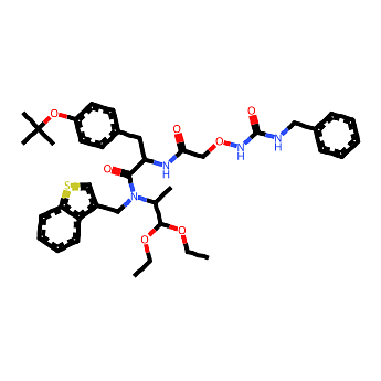 CCOC(OCC)C(C)N(Cc1csc2ccccc12)C(=O)C(Cc1ccc(OC(C)(C)C)cc1)NC(=O)CONC(=O)NCc1ccccc1